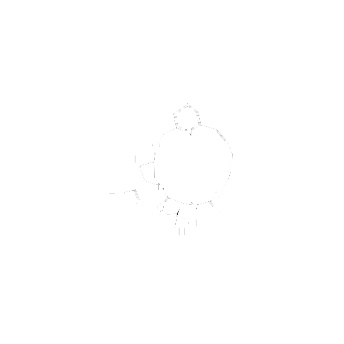 CC(C)(C)[C@@H]1NC(=O)OCCCC=Cc2cccc(n2)CO[C@@H]2C[C@@H](C(=O)O)N(C2)C1=O